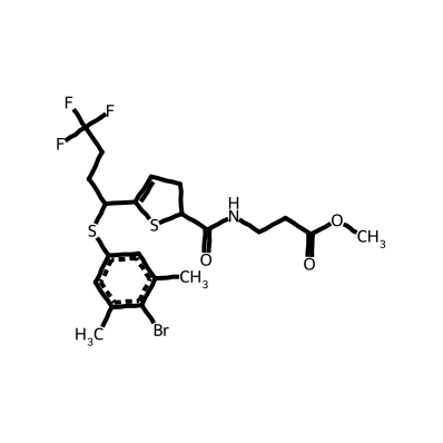 COC(=O)CCNC(=O)C1CC=C(C(CCC(F)(F)F)Sc2cc(C)c(Br)c(C)c2)S1